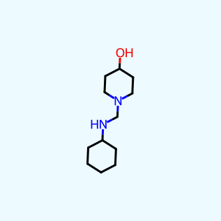 OC1CCN(CNC2CCCCC2)CC1